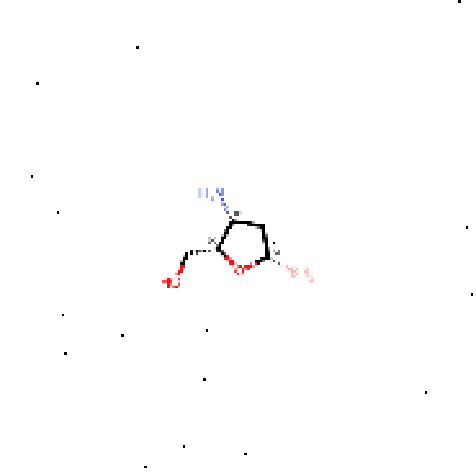 B[C@H]1C[C@@H](N)[C@@H](CO)O1